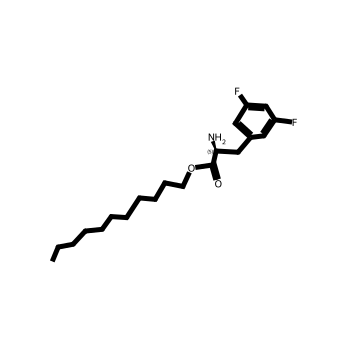 CCCCCCCCCCCOC(=O)[C@@H](N)Cc1cc(F)cc(F)c1